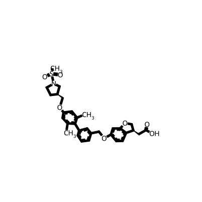 Cc1cc(OC[C@H]2CCN(S(C)(=O)=O)C2)cc(C)c1-c1cccc(COc2ccc3c(c2)OC[C@H]3CC(=O)O)c1